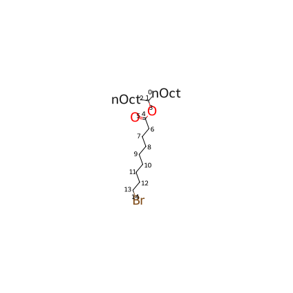 CCCCCCCCC(CCCCCCCC)OC(=O)CCCCCCCCBr